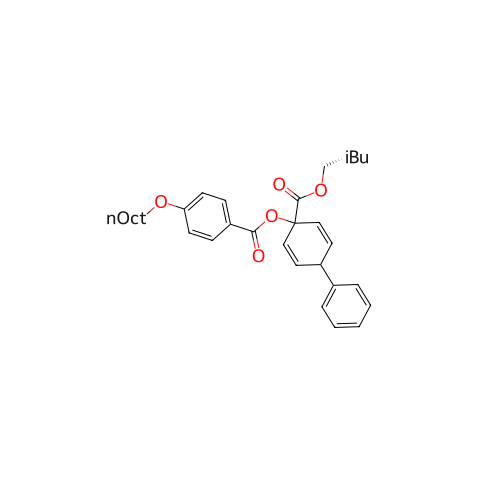 CCCCCCCCOc1ccc(C(=O)OC2(C(=O)OC[C@@H](C)CC)C=CC(c3ccccc3)C=C2)cc1